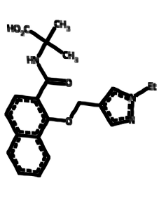 CCn1cc(COc2c(C(=O)NC(C)(C)C(=O)O)ccc3ccccc23)cn1